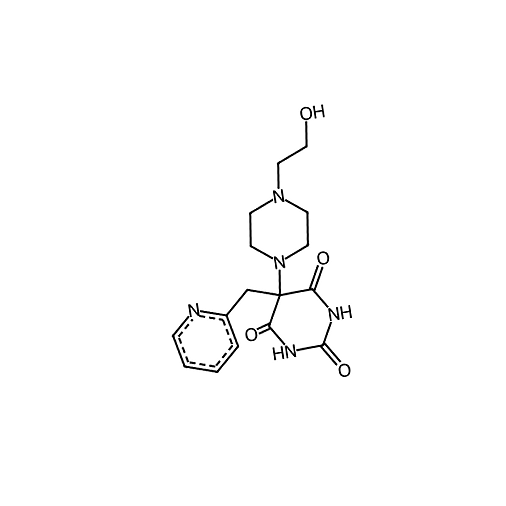 O=C1NC(=O)C(Cc2ccccn2)(N2CCN(CCO)CC2)C(=O)N1